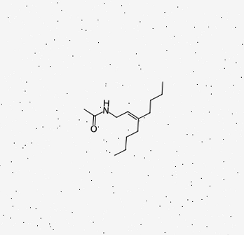 CCCCC(=CCNC(C)=O)CCCC